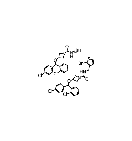 CC[C@H](C)NC(=O)N1CC(OC(c2ccc(Cl)cc2)c2ccccc2Cl)C1.O=C(NCc1ccsc1Br)N1CC(OC(c2ccc(Cl)cc2)c2ccccc2Cl)C1